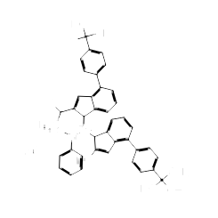 CC1=Cc2c(-c3ccc(C(C)(C)C)cc3)cccc2[CH]1[Zr+2]([CH]1C(C(C)C)=Cc2c(-c3ccc(C(C)(C)C)cc3)cccc21)=[Si](C)c1ccccc1.[Cl-].[Cl-]